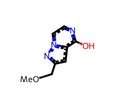 COCc1cc2c(O)nccn2n1